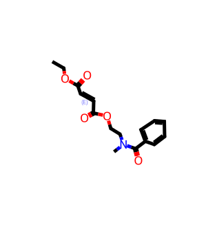 CCOC(=O)/C=C/C(=O)OCCN(C)C(=O)c1ccccc1